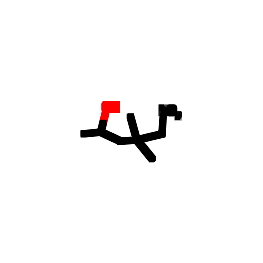 CC(O)CC(C)(C)C[N+](=O)[O-]